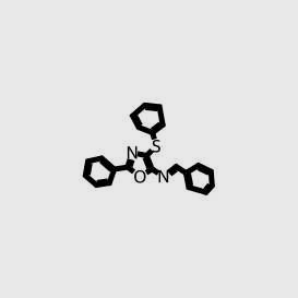 C(=N\c1oc(-c2ccccc2)nc1Sc1ccccc1)/c1ccccc1